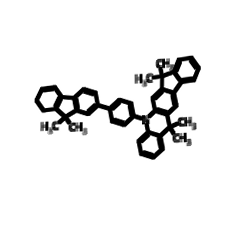 CC1(C)C2=C(C=CCC2)c2ccc(-c3ccc(N4c5ccccc5C(C)(C)c5cc6c(cc54)C(C)(C)c4ccccc4-6)cc3)cc21